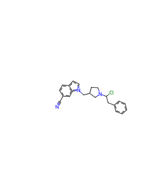 N#Cc1ccc2ccn(CC3CCN(C(Cl)Cc4ccccc4)C3)c2c1